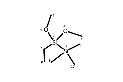 CC[Si](OC)(OC)[Si](C)(C)C